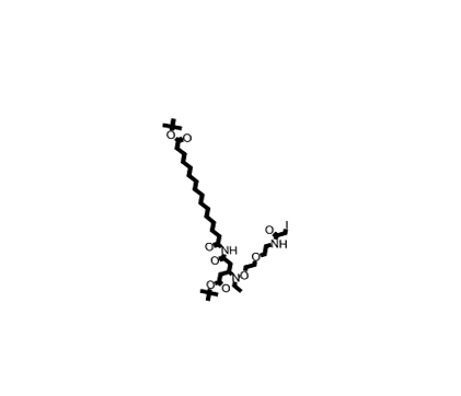 CCN(OCCOCCNC(=O)CI)C(CC(=O)NC(=O)CCCCCCCCCCCCCCC(=O)OC(C)(C)C)CC(=O)OC(C)(C)C